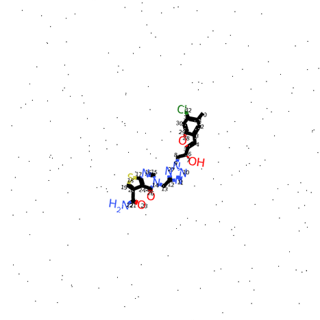 Cc1cc2cc([C@@H](O)Cn3nnc(Cn4cnc5scc(C(N)=O)c5c4=O)n3)oc2cc1Cl